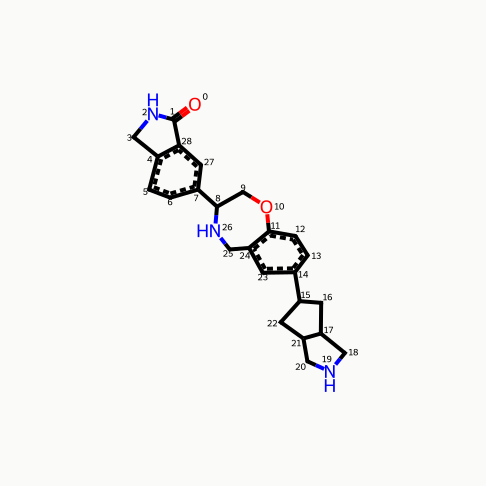 O=C1NCc2ccc(C3COc4ccc(C5CC6CNCC6C5)cc4CN3)cc21